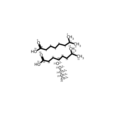 CC(C)CCCCCC(=O)O.CC(C)CCCCCC(=O)O.[O-2].[O-2].[Zn+2].[Zn+2].[Zn+2]